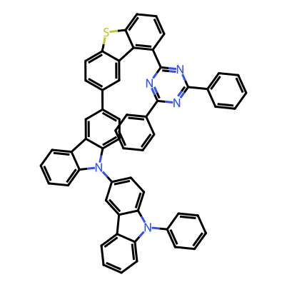 c1ccc(-c2nc(-c3ccccc3)nc(-c3cccc4sc5ccc(-c6ccc7c(c6)c6ccccc6n7-c6ccc7c(c6)c6ccccc6n7-c6ccccc6)cc5c34)n2)cc1